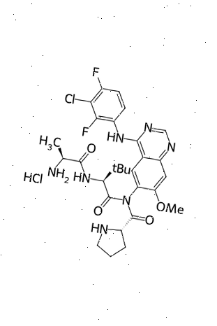 COc1cc2ncnc(Nc3ccc(F)c(Cl)c3F)c2cc1N(C(=O)[C@@H]1CCCN1)C(=O)[C@@H](NC(=O)[C@H](C)N)C(C)(C)C.Cl